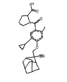 N#CC1(COc2cc(F)c(C(=O)N3CCCC3C(=O)O)cc2C2CC2)C2CC3CC(C2)CC1C3